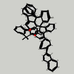 CC1(C)c2ccccc2-c2ccc(N(c3ccc(-c4ccc5ccccc5c4)cc3)c3ccccc3C3(c4ccccc4)c4ccccc4C4(c5ccccc5)c5ccccc5-c5cccc3c54)cc21